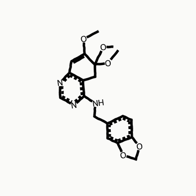 COC1=Cc2ncnc(NCc3ccc4c(c3)OCO4)c2CC1(OC)OC